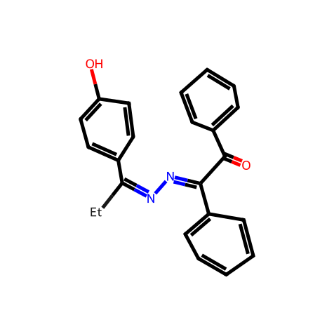 CCC(=NN=C(C(=O)c1ccccc1)c1ccccc1)c1ccc(O)cc1